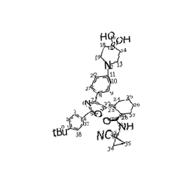 CC(C)(C)c1ccc(-c2nc(-c3ccc(N4CCS(O)(O)CC4)cc3)c([C@@H]3CCCC[C@H]3C(=O)NC3(C#N)CC3)o2)cc1